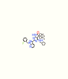 CC1(C)C(=O)Nc2nc(-c3nn(Cc4ccccc4F)c4ncccc34)nc(NCC3CCCC3)c21